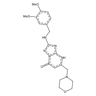 COc1ccc(CNc2nc3[nH]c(CN4CCOCC4)cc(=O)n3n2)cc1OC